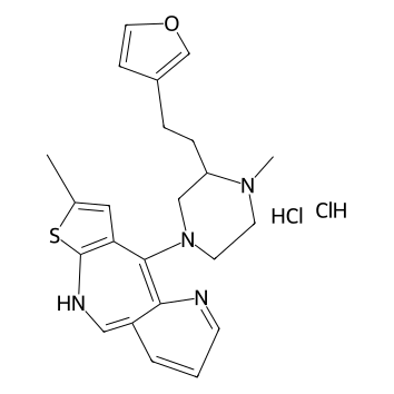 Cc1cc2c(s1)NC=c1cccnc1=C2N1CCN(C)C(CCc2ccoc2)C1.Cl.Cl